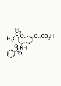 CC1(C)CC(NS(=O)(=O)c2ccccc2)c2ccc(OCC(=O)O)cc2O1